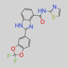 O=C(Nc1nccs1)c1cccc2[nH]c(-c3ccc4c(c3)OC(F)(F)O4)nc12